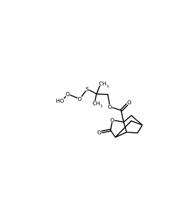 CC(C)(COC(=O)C12CC3CC(C(=O)O1)C2C3)SOOO